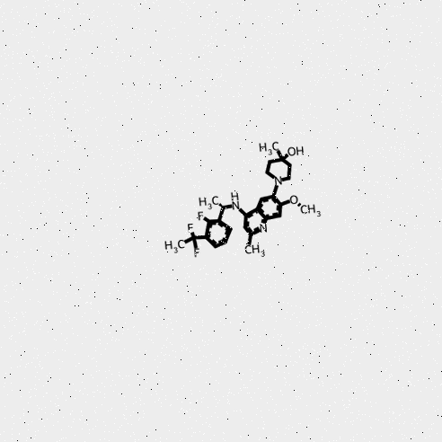 COc1cc2nc(C)cc(N[C@H](C)c3cccc(C(C)(F)F)c3F)c2cc1N1CCC(C)(O)CC1